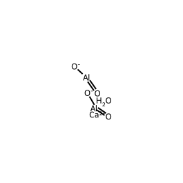 O.[Ca+2].[O]=[Al][O-].[O]=[Al][O-]